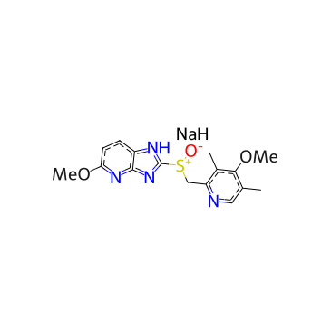 COc1ccc2[nH]c([S+]([O-])Cc3ncc(C)c(OC)c3C)nc2n1.[NaH]